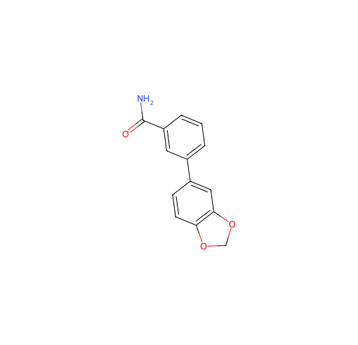 NC(=O)c1cccc(-c2ccc3c(c2)OCO3)c1